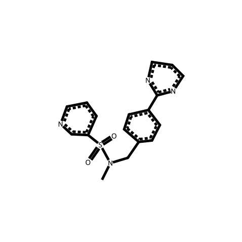 CN(Cc1ccc(-c2ncccn2)cc1)S(=O)(=O)c1cccnc1